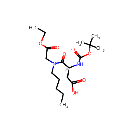 CCCCCN(CC(=O)OCC)C(=O)[C@H](CC(=O)O)NC(=O)OC(C)(C)C